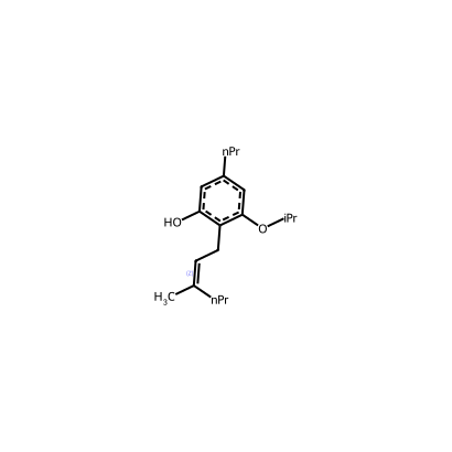 CCC/C(C)=C\Cc1c(O)cc(CCC)cc1OC(C)C